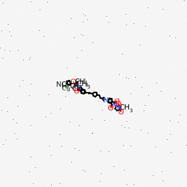 CN1C(=O)CCC(N2C(=O)c3ccc(N4CC(CCC5CCC(C#Cc6ccc7c(c6)CN([C@H]6C(C)(C)[C@H](Oc8ccc(C#N)c(Cl)c8)C6(C)C)C7=O)CC5)C4)cc3C2=O)C1=O